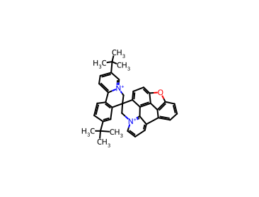 CC(C)(C)c1ccc2c(c1)C1(C[n+]3cc(C(C)(C)C)ccc3-2)C[n+]2cccc3c4cccc5oc6ccc1c(c6c54)c32